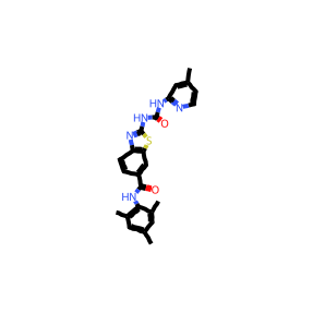 Cc1ccnc(NC(=O)Nc2nc3ccc(C(=O)Nc4c(C)cc(C)cc4C)cc3s2)c1